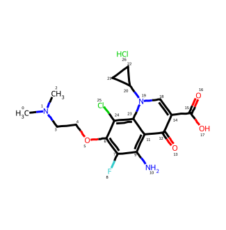 CN(C)CCOc1c(F)c(N)c2c(=O)c(C(=O)O)cn(C3CC3)c2c1Cl.Cl